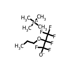 CCCOC(F)(C([O-])(F)F)C(F)(F)F.C[N+](C)(C)C